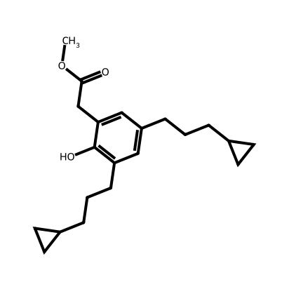 COC(=O)Cc1cc(CCCC2CC2)cc(CCCC2CC2)c1O